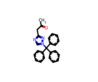 CC(=O)Cc1ncn(C(c2ccccc2)(c2ccccc2)c2ccccc2)n1